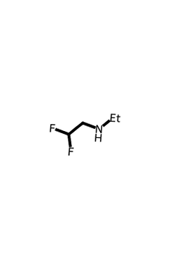 [CH2]CNCC(F)F